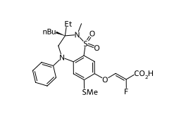 CCCC[C@]1(CC)CN(c2ccccc2)c2cc(SC)c(O/C=C(\F)C(=O)O)cc2S(=O)(=O)N1C